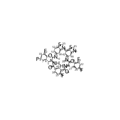 CN(C(=O)[C@H](Cc1cc(F)cc(F)c1)NC(=O)c1ccc(F)c(C(=O)N[C@@H](Cc2cc(F)cc(F)c2)C(=O)N(C)c2ccc3scnc3c2)c1)c1ccc2scnc2c1